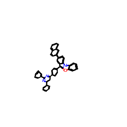 c1ccc(-c2cc(-c3ccc(-c4c5cc(-c6ccc7ccccc7c6)ccc5n5c4oc4ccccc45)cc3)nc(-c3ccccc3)n2)cc1